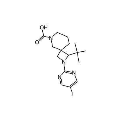 CC(C)(C)C1N(c2ncc(I)cn2)CC12CCCN(C(=O)O)C2